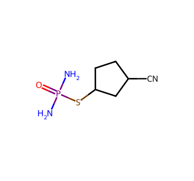 N#CC1CCC(SP(N)(N)=O)C1